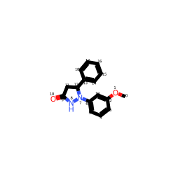 COc1cccc(N2NC(=O)CC2c2ccccc2)c1